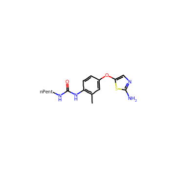 CCCCCNC(=O)Nc1ccc(Oc2cnc(N)s2)cc1C